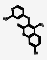 Cc1c(Oc2ccnc(N)c2)c(=O)oc2cc(O)ccc12